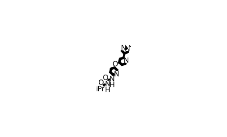 CC(C)C(=O)NC(=O)Nc1ccc(Oc2ccnc(-c3cnn(C)c3)c2)cn1